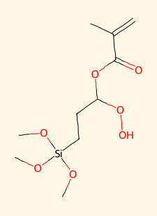 C=C(C)C(=O)OC(CC[Si](OC)(OC)OC)OO